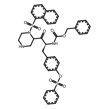 O=C(N[C@@H](Cc1ccc(OS(=O)(=O)c2ccccc2)cc1)C(=O)C1CNCCN1S(=O)(=O)c1cccc2ccccc12)OCc1ccccc1